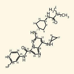 CN(C)C(=O)N[C@H]1CC[C@H](Nc2cc(NC3CC3)c3ncc(C(=O)Nc4ccnc(F)c4)n3n2)CC1